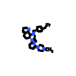 CC(C)Cc1ccc(CN(Cc2cn3c(N4CCN(C)CC4)cccc3n2)[C@H]2CCCc3cccnc32)cc1